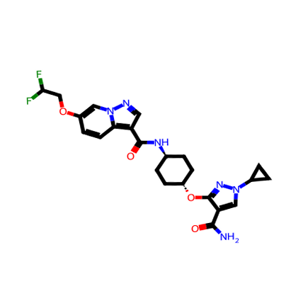 NC(=O)c1cn(C2CC2)nc1O[C@H]1CC[C@H](NC(=O)c2cnn3cc(OCC(F)F)ccc23)CC1